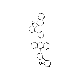 c1cc(-c2c3ccccc3c(-c3ccc4oc5ccccc5c4c3)c3ccccc23)cc(-c2cccc3oc4c5ccccc5ccc4c23)c1